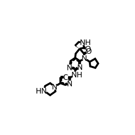 O=C1NCC[C@]12Cc1cnc(Nc3ccc(N4CCNCC4)cn3)nc1N(C1CCCC1)C2=O